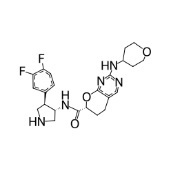 O=C(N[C@@H]1CNC[C@H]1c1ccc(F)c(F)c1)[C@H]1CCc2cnc(NC3CCOCC3)nc2O1